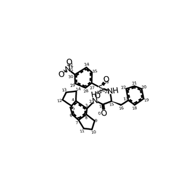 O=C(Nc1c2c(cc3c1CCC3)CCC2)[C@H](Cc1ccccc1)NS(=O)(=O)c1ccc([N+](=O)[O-])cc1